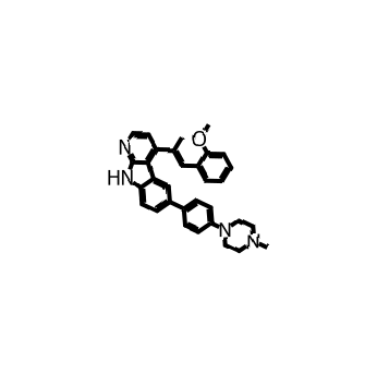 COc1ccccc1C=C(C)c1ccnc2[nH]c3ccc(-c4ccc(N5CCN(C)CC5)cc4)cc3c12